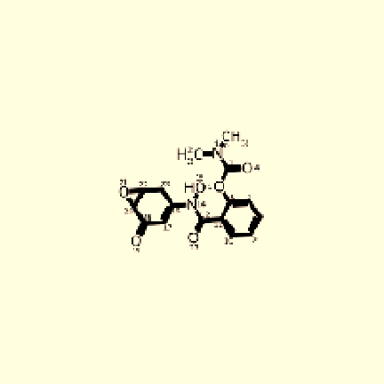 CN(C)C(=O)Oc1ccccc1C(=O)N(O)C1=CC(=O)C2OC2C1